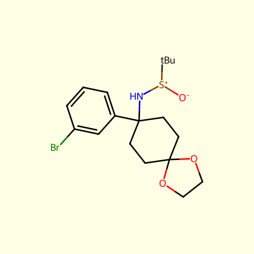 CC(C)(C)[S+]([O-])NC1(c2cccc(Br)c2)CCC2(CC1)OCCO2